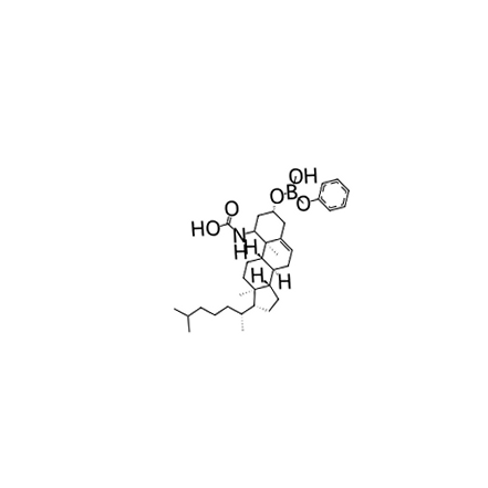 CC(C)CCC[C@@H](C)[C@H]1CC[C@H]2[C@@H]3CC=C4C[C@@H](OB(O)Oc5ccccc5)CC(NC(=O)O)[C@]4(C)[C@H]3CC[C@]12C